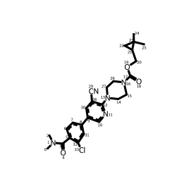 CN(C)C(=O)c1ccc(-c2cnc(N3CCN(C(=O)OCC4CC4(C)C)CC3)c(C#N)c2)cc1Cl